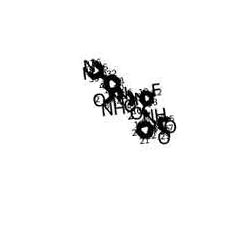 NC(=O)c1nn(CC(=O)N2C[C@H](F)C[C@H]2C(=O)Nc2ccccc2N2CCOC2=O)c2ccc(-c3ccnnc3)cc12